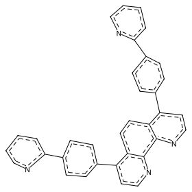 c1ccc(-c2ccc(-c3ccnc4c3ccc3c(-c5ccc(-c6ccccn6)cc5)ccnc34)cc2)nc1